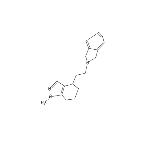 Cn1ncc2c1CCCC2CCN1Cc2ccccc2C1